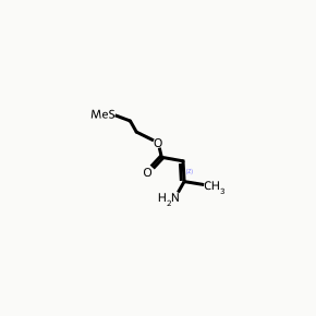 CSCCOC(=O)/C=C(/C)N